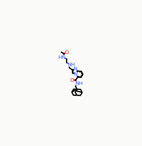 CC(=O)NCCNCc1cn2c(C(=O)NCC34CC5CC(CC(C5)C3)C4)cccc2n1